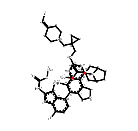 CC(C)(C)OC(=O)Nc1sc2c(F)ccc(-c3c4c(c5c(N6C7CCC6CN(C(=O)OC(C)(C)C)C7)nc(OCC6(CN7CCC(=CF)CC7)CC6)nc5c3F)COC4)c2c1C#N